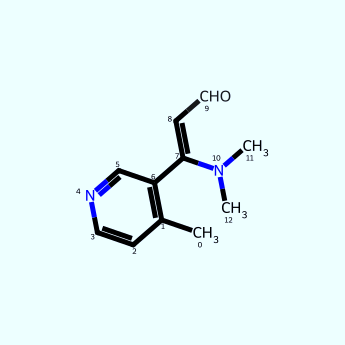 Cc1ccncc1C(=CC=O)N(C)C